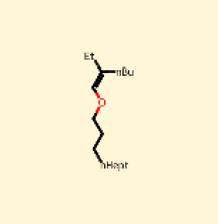 CCCCCCCCCCOC=C(CC)CCCC